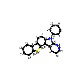 c1ccc(-n2c3ccc4c5ccccc5sc4c3c3cccnc32)cc1